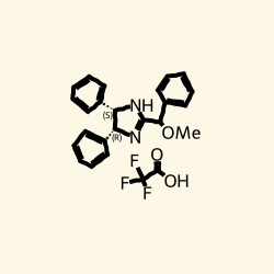 COC(C1=N[C@H](c2ccccc2)[C@H](c2ccccc2)N1)c1ccccc1.O=C(O)C(F)(F)F